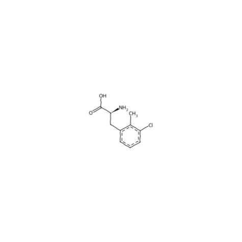 Cc1c(Cl)cccc1C[C@H](N)C(=O)O